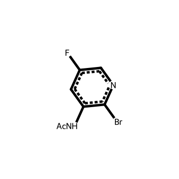 CC(=O)Nc1cc(F)cnc1Br